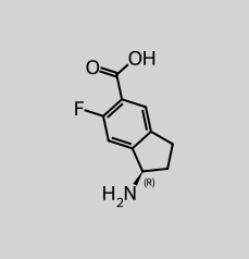 N[C@@H]1CCc2cc(C(=O)O)c(F)cc21